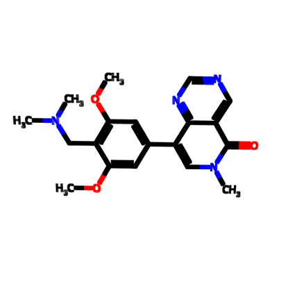 COc1cc(-c2cn(C)c(=O)c3cncnc23)cc(OC)c1CN(C)C